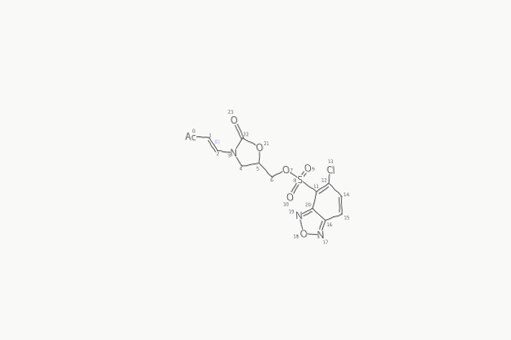 CC(=O)/C=C/N1CC(COS(=O)(=O)c2c(Cl)ccc3nonc23)OC1=O